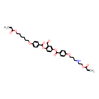 C=CC(=O)OCCCCCCOc1ccc(C(=O)Oc2ccc(OC(=O)c3ccc(OCCCNCCOC(=O)C=C)cc3)cc2C=O)cc1